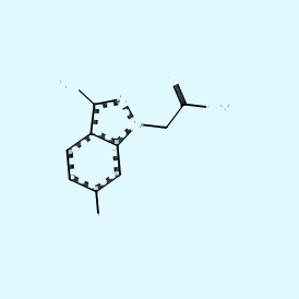 COC(=O)Cn1nc(C#N)c2ccc(O)cc21